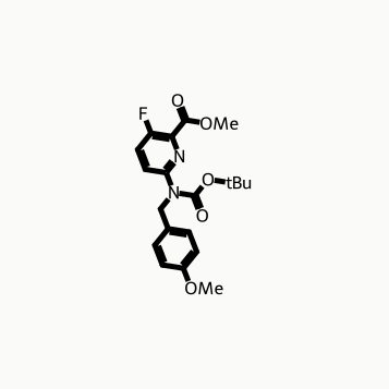 COC(=O)c1nc(N(Cc2ccc(OC)cc2)C(=O)OC(C)(C)C)ccc1F